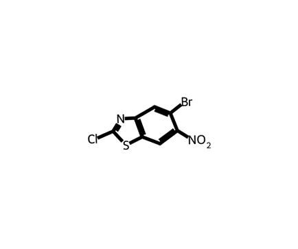 O=[N+]([O-])c1cc2sc(Cl)nc2cc1Br